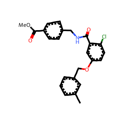 COC(=O)c1ccc(CNC(=O)c2cc(OCc3cccc(C)c3)ccc2Cl)cc1